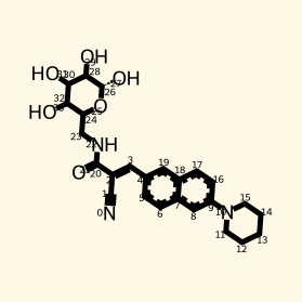 N#C/C(=C\c1ccc2cc(N3CCCCC3)ccc2c1)C(=O)NCC1O[C@@H](O)C(O)C(O)C1O